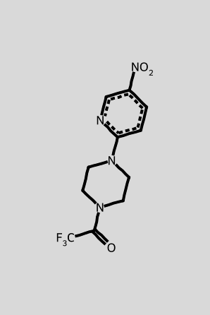 O=C(N1CCN(c2ccc([N+](=O)[O-])cn2)CC1)C(F)(F)F